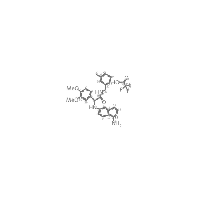 COc1ccc(C(Nc2ccc3c(N)nccc3c2)C(=O)NCc2cccc(C)c2)cc1OC.O=C(O)C(F)(F)F